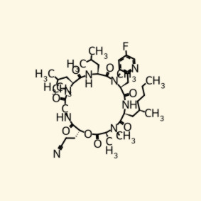 CCCC[C@@H](C)C[C@@H]1NC(=O)[C@H](Cc2ccc(F)cn2)N(C)C(=O)[C@H](CC(C)C)NC(=O)[C@H](CC(C)C)N(C)C(=O)CNC(=O)[C@@H](CCC#N)OC(=O)[C@H](C)N(C)C1=O